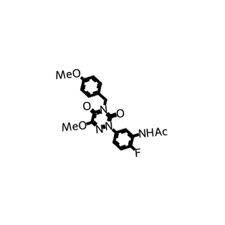 COc1ccc(Cn2c(=O)c(OC)nn(-c3ccc(F)c(NC(C)=O)c3)c2=O)cc1